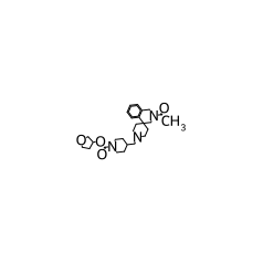 CC(=O)N1Cc2ccccc2C2(CCN(CC3CCN(C(=O)OC4CCOC4)CC3)CC2)C1